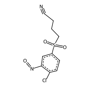 N#CCCCS(=O)(=O)c1ccc(Cl)c(N=O)c1